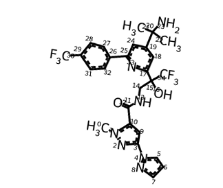 Cn1nc(-n2cccn2)cc1C(=O)NCC(O)(c1cc(C(C)(C)N)cc(-c2ccc(C(F)(F)F)cc2)n1)C(F)(F)F